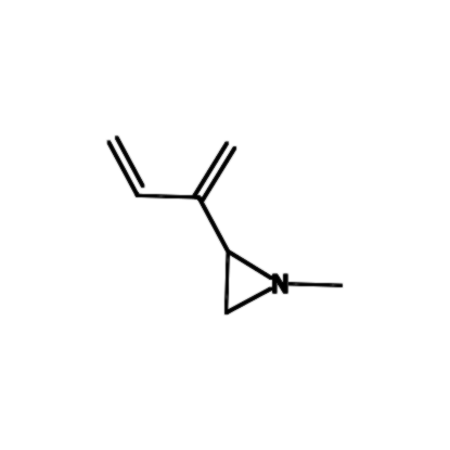 C=CC(=C)C1CN1C